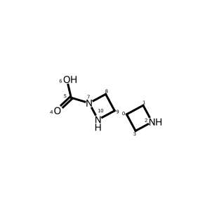 C1CNC1.O=C(O)N1CCN1